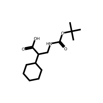 CC(C)(C)OC(=O)NCC(C(=O)O)C1CCCCC1